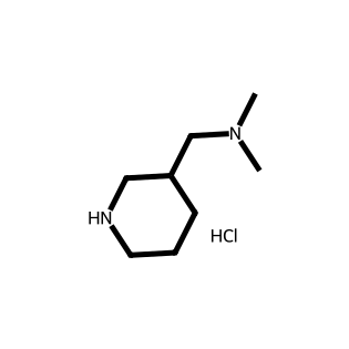 CN(C)CC1CCCNC1.Cl